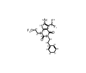 CC(=O)c1sc2c(c1C(F)F)c(=O)n(CCC1=CCCC=C1)c(=O)n2CCC(F)(F)F